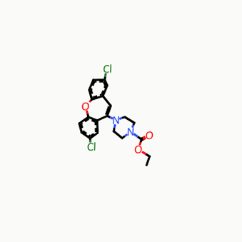 CCOC(=O)N1CCN(C2=Cc3cc(Cl)ccc3Oc3ccc(Cl)cc32)CC1